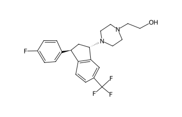 OCCN1CCN([C@H]2C[C@H](c3ccc(F)cc3)c3ccc(C(F)(F)F)cc32)CC1